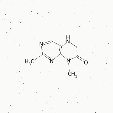 Cc1ncc2c(n1)N(C)C(=O)CN2